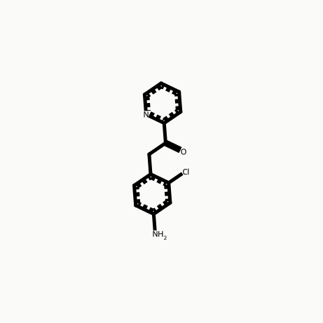 Nc1ccc(CC(=O)c2ccccn2)c(Cl)c1